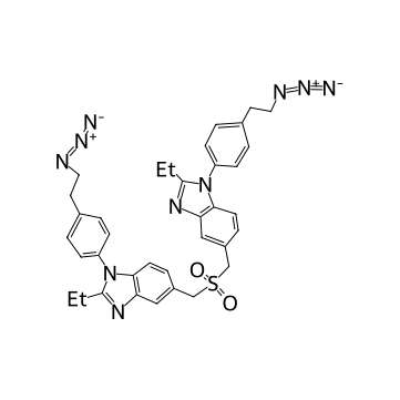 CCc1nc2cc(CS(=O)(=O)Cc3ccc4c(c3)nc(CC)n4-c3ccc(CCN=[N+]=[N-])cc3)ccc2n1-c1ccc(CCN=[N+]=[N-])cc1